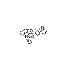 Cn1nccc1C(=O)N[C@H](C(=O)Nc1ccc2c(c1)NC(=O)C21CCOCC1)C1c2ccccc2CC12CC2